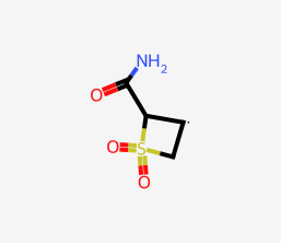 NC(=O)C1[CH]CS1(=O)=O